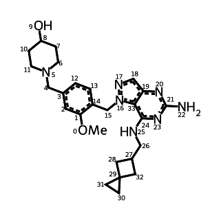 COc1cc(CN2CCC(O)CC2)ccc1Cn1ncc2nc(N)nc(NCC3CC4(CC4)C3)c21